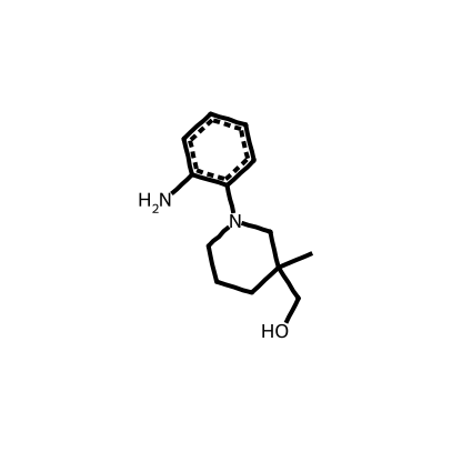 CC1(CO)CCCN(c2ccccc2N)C1